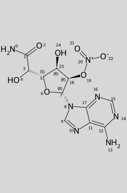 NC(=O)C(O)[C@H]1O[C@@H](n2cnc3c(N)ncnc32)[C@H](O[N+](=O)[O-])[C@@H]1O